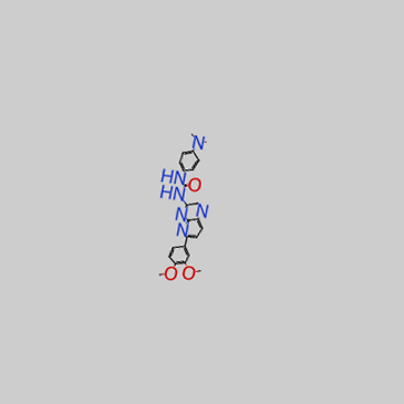 COc1ccc(-c2ccc3ncc(NC(=O)Nc4ccc(N(C)C)cc4)nc3n2)cc1OC